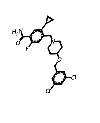 NC(=O)c1cc(C2CC2)c(CN2CCC(OCc3cc(Cl)cc(Cl)c3)CC2)cc1F